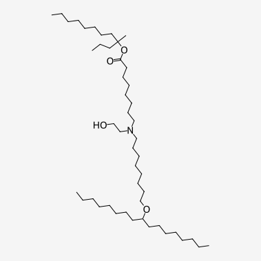 CCCCCCCCC(CCCCCCCC)OCCCCCCCCN(CCO)CCCCCCCC(=O)OC(C)(CCC)CCCCCCCC